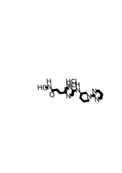 Cl.Cl.O=C(/C=C/c1cnc(N[C@@H]2CCCN(c3ncccn3)C2)cn1)NO